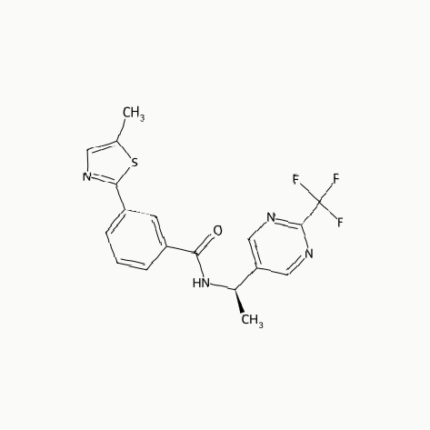 Cc1cnc(-c2cccc(C(=O)N[C@H](C)c3cnc(C(F)(F)F)nc3)c2)s1